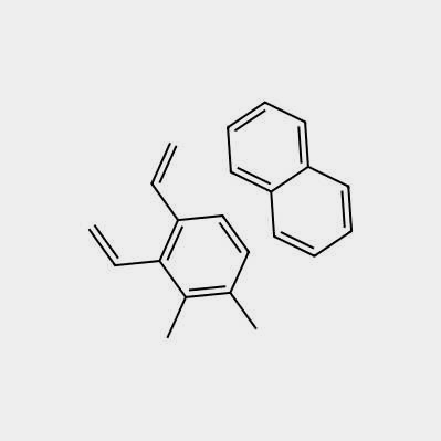 C=Cc1ccc(C)c(C)c1C=C.c1ccc2ccccc2c1